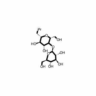 CC(C)C[C@@H]1O[C@H](CO)C(O[C@@H]2O[C@H](CO)[C@@H](O)[C@H](O)[C@H]2O)[C@H](O)[C@H]1O